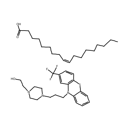 CCCCCCCC/C=C\CCCCCCCC(=O)O.OCCN1CCN(CCCN2c3ccccc3Sc3ccc(C(F)(F)F)cc32)CC1